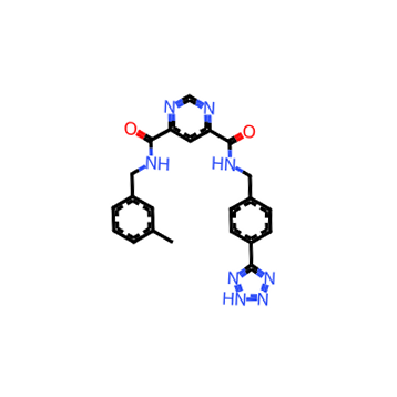 Cc1cccc(CNC(=O)c2cc(C(=O)NCc3ccc(-c4nn[nH]n4)cc3)ncn2)c1